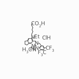 CCN(CCCCCC(=O)O)c1cc2c(cc1CN(Cc1cc(C(F)(F)F)cc(C(F)(F)F)c1)c1nnn(C)n1)CCC2.Cl